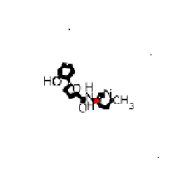 CC1CC2CCN1C[C@@H]2NC(=O)c1ccc(-c2ccccc2O)o1